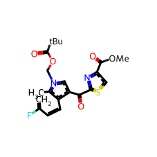 C=C(F)/C=C\c1c(C(=O)c2nc(C(=O)OC)cs2)cn(COC(=O)C(C)(C)C)c1C